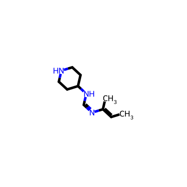 C/C=C(C)/N=C\NC1CCNCC1